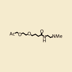 CNCCNC(=O)CCCOCCOCC(C)=O